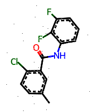 Cc1ccc(Cl)c(C(=O)Nc2cccc(F)c2F)c1